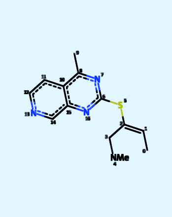 C/C=C(\CNC)Sc1nc(C)c2ccncc2n1